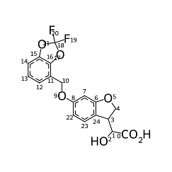 O=C(O)C(O)C1COc2cc(OCc3cccc4c3OC(F)(F)O4)ccc21